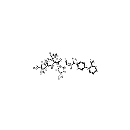 Cc1ccccc1-c1ccc([C@H](C)NC(=O)[C@@H]2C[C@@H](O)CN2C(=O)[C@@H](NC(=O)OC(C)(C)C)C(C)(C)C)cc1